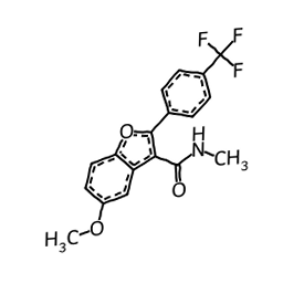 CNC(=O)c1c(-c2ccc(C(F)(F)F)cc2)oc2ccc(OC)cc12